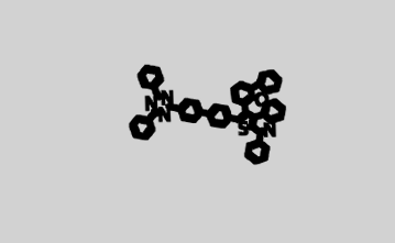 c1ccc(-c2nc(-c3ccccc3)nc(-c3ccc(-c4ccc(-c5sc6c(-c7ccccc7)nc7ccccc7c6c5-c5cccc6c5oc5ccccc56)cc4)cc3)n2)cc1